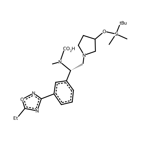 CCc1nc(-c2cccc([C@@H](CN3CCC(O[Si](C)(C)C(C)(C)C)C3)N(C)C(=O)O)c2)no1